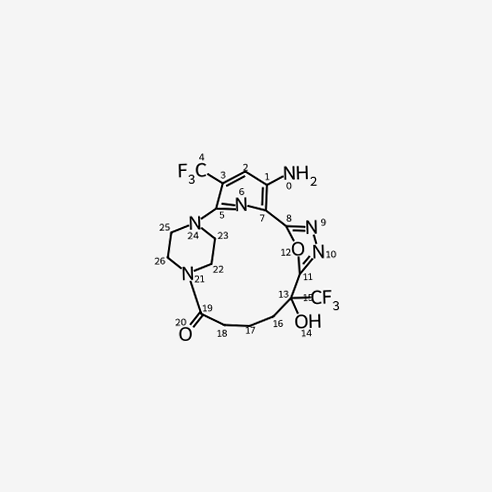 Nc1cc(C(F)(F)F)c2nc1-c1nnc(o1)C(O)(C(F)(F)F)CCCC(=O)N1CCN2CC1